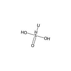 O=[SH](O)(O)[U]